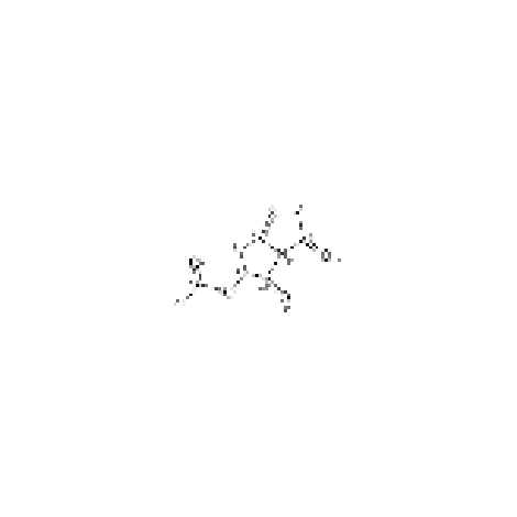 CC(=O)OC1CC2=CCC(=O)N2C1=O